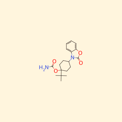 CC(C)(C)C1(OC(N)=O)CCC(n2c(=O)oc3ccccc32)CC1